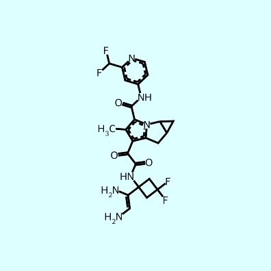 Cc1c(C(=O)C(=O)NC2(/C(N)=C/N)CC(F)(F)C2)c2n(c1C(=O)Nc1ccnc(C(F)F)c1)C1CC1C2